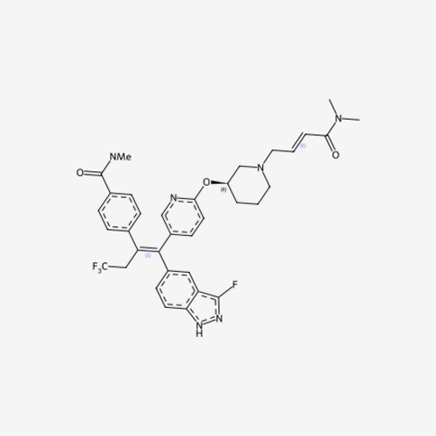 CNC(=O)c1ccc(/C(CC(F)(F)F)=C(\c2ccc(O[C@@H]3CCCN(C/C=C/C(=O)N(C)C)C3)nc2)c2ccc3[nH]nc(F)c3c2)cc1